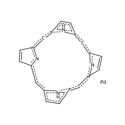 C1=Cc2cc3ccc(cc4nc(cc5ccc(cc1n2)[nH]5)C=C4)[nH]3.[Pd]